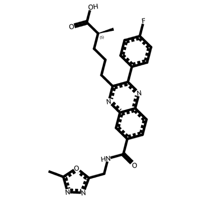 Cc1nnc(CNC(=O)c2ccc3nc(-c4ccc(F)cc4)c(CCC[C@H](C)C(=O)O)nc3c2)o1